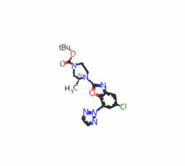 C[C@H]1CN(C(=O)OC(C)(C)C)CCN1c1nc2cc(Cl)cc(-n3nccn3)c2o1